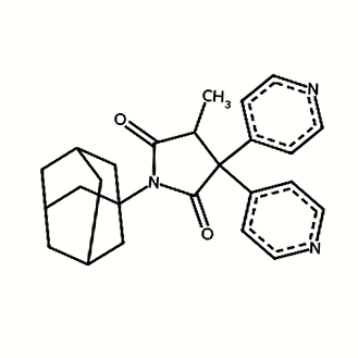 CC1C(=O)N(C23CC4CC(CC(C4)C2)C3)C(=O)C1(c1ccncc1)c1ccncc1